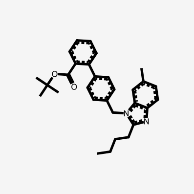 CCCCc1nc2ccc(C)cc2n1Cc1ccc(-c2ccccc2C(=O)OC(C)(C)C)cc1